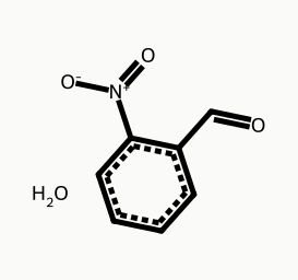 O.O=Cc1ccccc1[N+](=O)[O-]